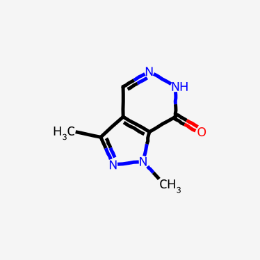 Cc1nn(C)c2c(=O)[nH]ncc12